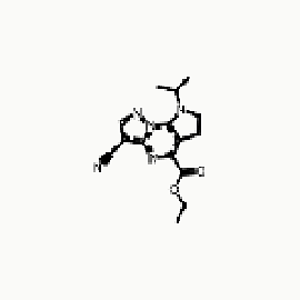 CCOC(=O)c1nc2c(C#N)cnn2c2c1CCN2C(C)C